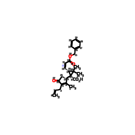 C=CCC1=C(C)[C@@H]([C@@]2(C(=O)O)[C@H](/C=C\C(=O)OCc3ccccc3)C2(C)C)CC1=O